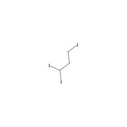 I[CH]CC(I)I